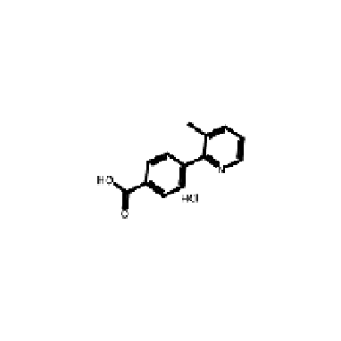 Cc1cccnc1-c1ccc(C(=O)O)cc1.Cl